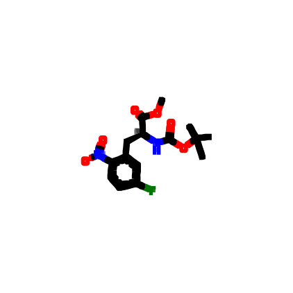 COC(=O)[C@H](Cc1cc(F)ccc1[N+](=O)[O-])NC(=O)OC(C)(C)C